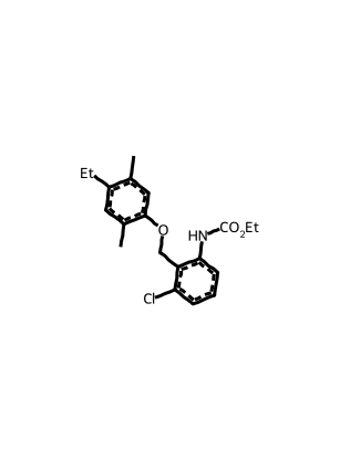 CCOC(=O)Nc1cccc(Cl)c1COc1cc(C)c(CC)cc1C